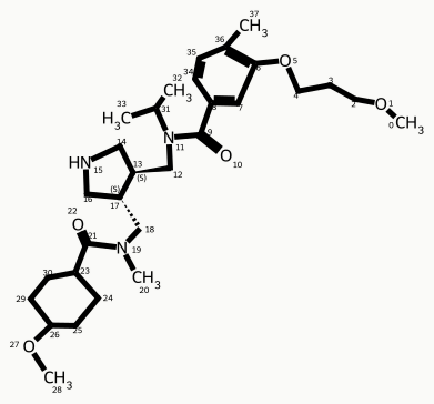 COCCCOc1cc(C(=O)N(C[C@@H]2CNC[C@H]2CN(C)C(=O)C2CCC(OC)CC2)C(C)C)ccc1C